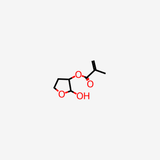 C=C(C)C(=O)OC1CCOC1O